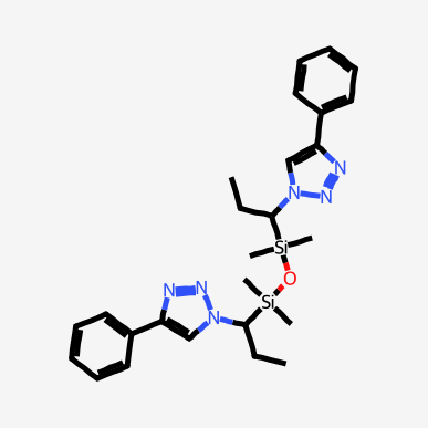 CCC(n1cc(-c2ccccc2)nn1)[Si](C)(C)O[Si](C)(C)C(CC)n1cc(-c2ccccc2)nn1